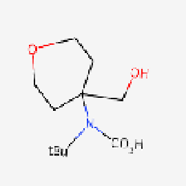 CC(C)(C)N(C(=O)O)C1(CO)CCOCC1